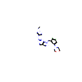 [CH2][CH]n1cc(Nc2ncc3cnn(Cc4cc(N5CCOCC5)cc(F)c4F)c3n2)cn1